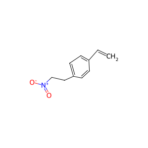 C=Cc1ccc(CC[N+](=O)[O-])cc1